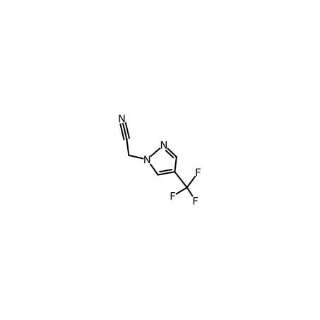 N#CCn1cc(C(F)(F)F)cn1